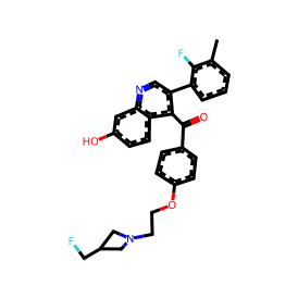 Cc1cccc(-c2cnc3cc(O)ccc3c2C(=O)c2ccc(OCCN3CC(CF)C3)cc2)c1F